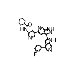 O=C(Nc1cncc(-c2cc3c(-c4cc5c(-c6cccc(F)c6)cncc5[nH]4)n[nH]c3cn2)c1)C1CCCCC1